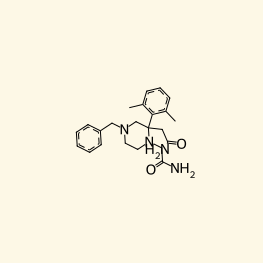 Cc1cccc(C)c1C1(CC(N)=O)CN(Cc2ccccc2)CCN1CC(N)=O